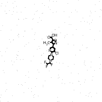 Cc1c(-c2cnc(N3CCN(C(F)C(F)F)CC3)c(Cl)c2)noc1C(=O)O